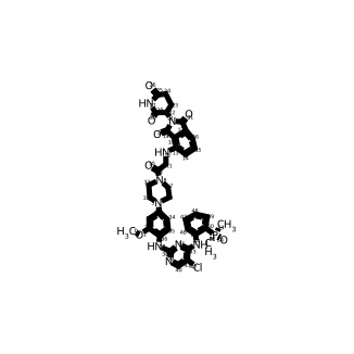 COc1cc(N2CCN(C(=O)CNc3cccc4c3C(=O)N(C3CCC(=O)NC3=O)C4=O)CC2)ccc1Nc1ncc(Cl)c(Nc2ccccc2P(C)(C)=O)n1